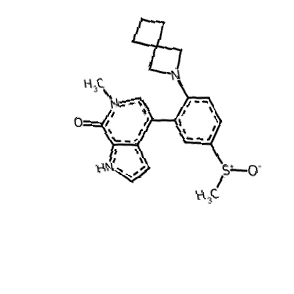 Cn1cc(-c2cc([S+](C)[O-])ccc2N2CC3(CCC3)C2)c2cc[nH]c2c1=O